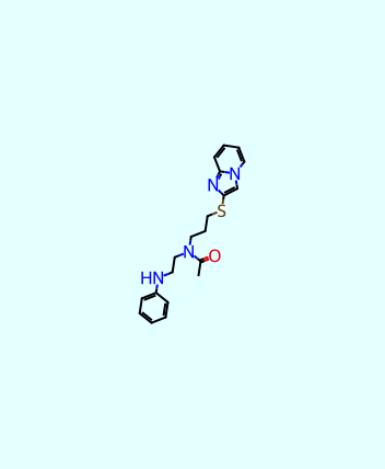 CC(=O)N(CCCSc1cn2ccccc2n1)CCNc1ccccc1